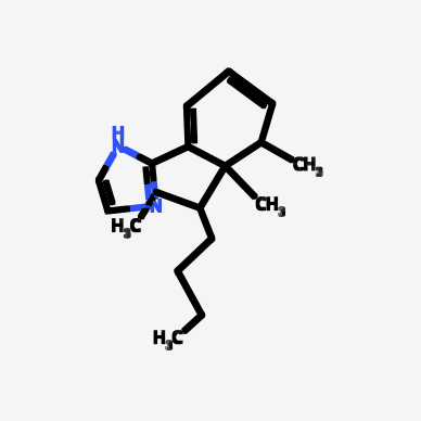 CCCCC(CC)C1(C)C(c2ncc[nH]2)=CC=CC1C